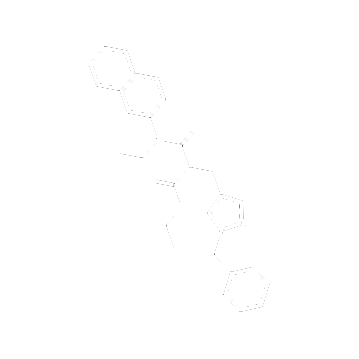 CCOC(=O)C(Cc1cnn(Cc2ccccc2)c1)C(=O)N(CC)c1ccc2ccccc2c1